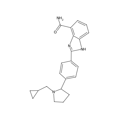 NC(=O)c1cccc2[nH]c(-c3ccc(C4CCCN4CC4CC4)cc3)nc12